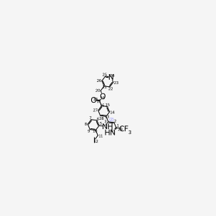 N=C(/C=C(\Nc1ccccc1CI)c1ccc(C(=O)OCc2ccncc2)cc1)C(F)(F)F